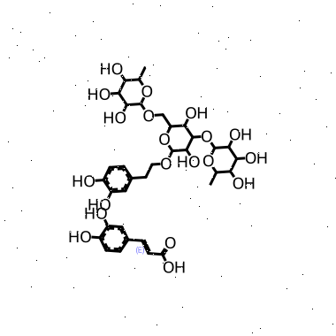 CC1OC(OCC2OC(OCCc3ccc(O)c(O)c3)C(O)C(OC3OC(C)C(O)C(O)C3O)C2O)C(O)C(O)C1O.O=C(O)/C=C/c1ccc(O)c(O)c1